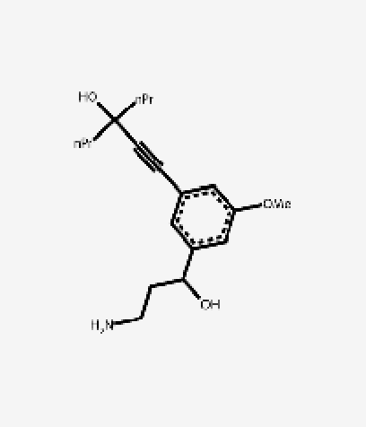 CCCC(O)(C#Cc1cc(OC)cc(C(O)CCN)c1)CCC